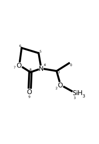 CC(O[SiH3])N1CCOC1=O